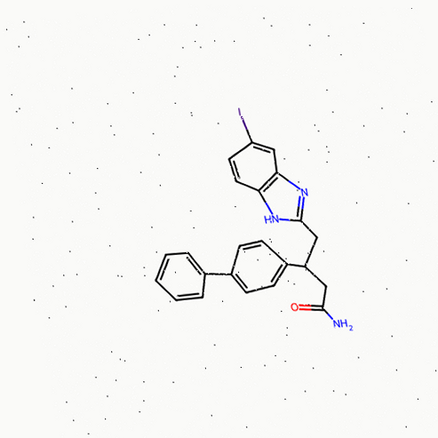 NC(=O)CC(Cc1nc2cc(I)ccc2[nH]1)c1ccc(-c2ccccc2)cc1